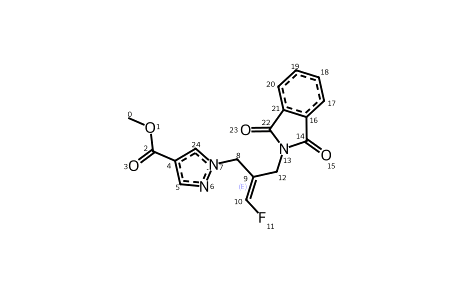 COC(=O)c1cnn(C/C(=C/F)CN2C(=O)c3ccccc3C2=O)c1